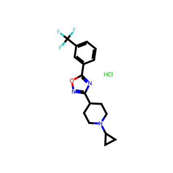 Cl.FC(F)(F)c1cccc(-c2nc(C3CCN(C4CC4)CC3)no2)c1